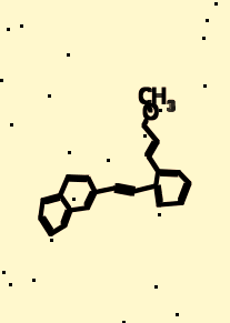 COCC=Cc1ccccc1C#Cc1ccc2ccccc2c1